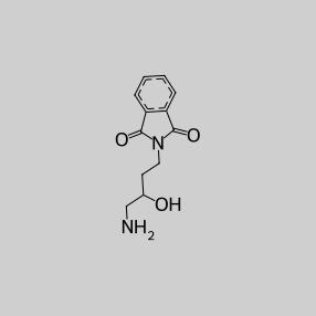 NCC(O)CCN1C(=O)c2ccccc2C1=O